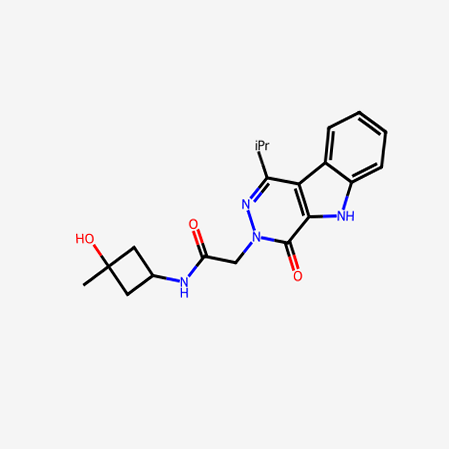 CC(C)c1nn(CC(=O)NC2CC(C)(O)C2)c(=O)c2[nH]c3ccccc3c12